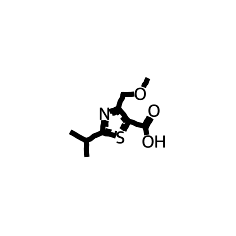 COCc1nc(C(C)C)sc1C(=O)O